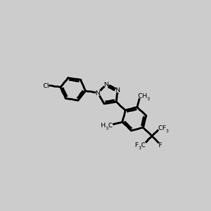 Cc1cc(C(F)(C(F)(F)F)C(F)(F)F)cc(C)c1-c1cn(-c2ccc(Cl)cc2)nn1